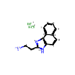 Cl.Cl.NCCc1nc2c(ccc3ccccc32)[nH]1